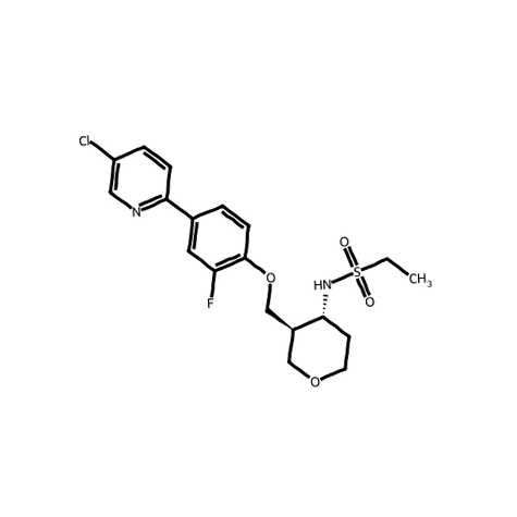 CCS(=O)(=O)N[C@@H]1CCOC[C@H]1COc1ccc(-c2ccc(Cl)cn2)cc1F